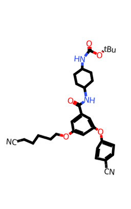 CC(C)(C)OC(=O)NC1CCC(NC(=O)c2cc(OCCCCCC#N)cc(Oc3ccc(C#N)cc3)c2)CC1